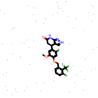 COc1cc(C2CC(=O)Nc3n[nH]cc32)c(F)cc1OCc1cccc(F)c1C(F)(F)F